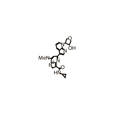 CNc1cc(-c2cnc3n([C@H]4COC[C@@H]4O)cccc2-3)nc2c(C(=O)NC3CC3)cnn12